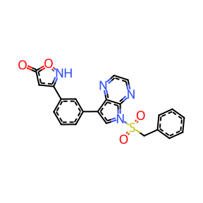 O=c1cc(-c2cccc(-c3cn(S(=O)(=O)Cc4ccccc4)c4nccnc34)c2)[nH]o1